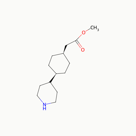 COC(=O)C[C@H]1CC[C@@H](C2CCNCC2)CC1